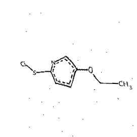 CCOc1ccc(SCl)nc1